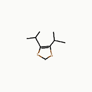 CC(C)C1=C(C(C)C)S[C]S1